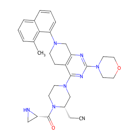 Cc1cccc2cccc(N3CCc4c(nc(N5CCOCC5)nc4N4CCN(C(=O)[C@@H]5CN5)[C@@H](CC#N)C4)C3)c12